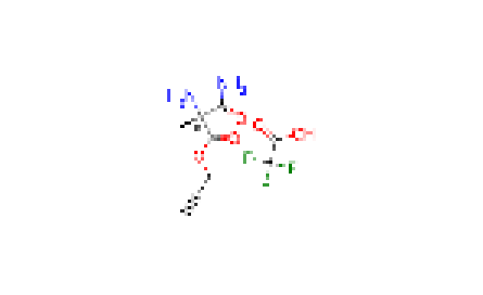 C#CCOC(=O)[C@](C)(N)C(N)=O.O=C(O)C(F)(F)F